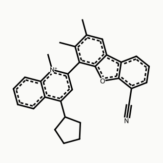 Cc1cc2c(oc3c(C#N)cccc32)c(-c2cc(C3CCCC3)c3ccccc3[n+]2C)c1C